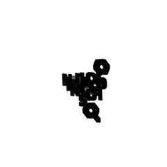 Cc1ccc(S[C@@H]2O[C@@H]3COC(c4ccccc4)O[C@H]3[C@H](F)[C@H]2N=[N+]=[N-])cc1